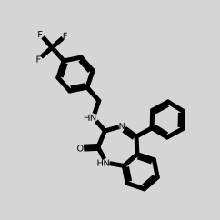 O=C1Nc2ccccc2C(c2ccccc2)=NC1NCc1ccc(C(F)(F)F)cc1